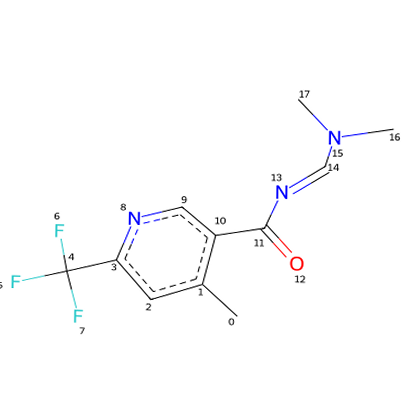 Cc1cc(C(F)(F)F)ncc1C(=O)N=CN(C)C